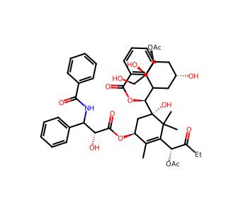 CCC(=O)[C@H](OC(C)=O)C1=C(C)[C@@H](OC(=O)[C@H](O)C(NC(=O)c2ccccc2)c2ccccc2)C[C@@](O)([C@@H](OC(=O)c2ccccc2)C2C[C@@H](O)C[C@H](OC(C)=O)[C@@]2(O)CO)C1(C)C